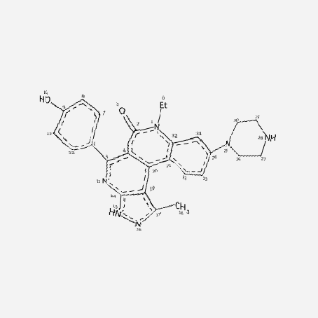 CCn1c(=O)c2c(-c3ccc(O)cc3)nc3[nH]nc(C)c3c2c2ccc(N3CCNCC3)cc21